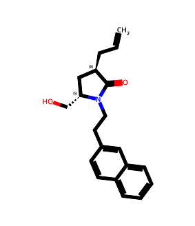 C=CC[C@@H]1C[C@@H](CO)N(CCc2ccc3ccccc3c2)C1=O